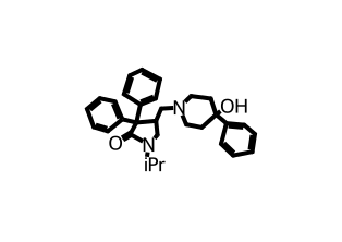 CC(C)N1CC(CN2CCC(O)(c3ccccc3)CC2)C(c2ccccc2)(c2ccccc2)C1=O